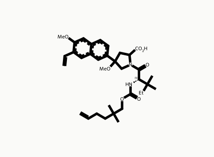 C=CCCC(C)(C)COC(=O)N[C@H](C(=O)N1CC(OC)(c2ccc3cc(OC)c(C=C)cc3c2)CC1C(=O)O)C(C)(C)CC